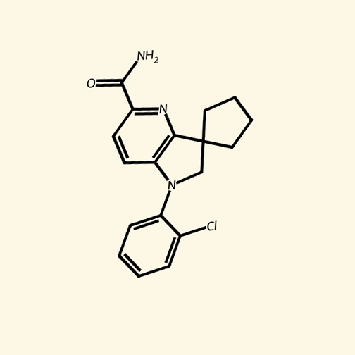 NC(=O)c1ccc2c(n1)C1(CCCC1)CN2c1ccccc1Cl